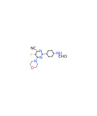 N#Cc1nc(-c2ccc(NC=O)cc2)nc(N2CCOCC2)c1F